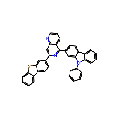 c1ccc(-n2c3ccccc3c3ccc(-c4nc(-c5ccc6c(c5)sc5ccccc56)cc5ncccc45)cc32)cc1